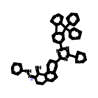 N=C1/C(=N\Nc2ccccc2)C=Cc2ccc3cc(-c4nc(-c5ccccc5)nc(-c5ccc6c(c5)C(c5ccccc5)(c5ccccc5)c5ccccc5-6)n4)ccc3c21